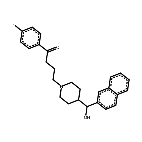 O=C(CCCN1CCC(C(O)c2ccc3ccccc3c2)CC1)c1ccc(F)cc1